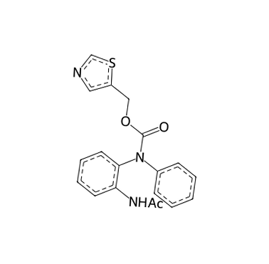 CC(=O)Nc1ccccc1N(C(=O)OCc1cncs1)c1ccccc1